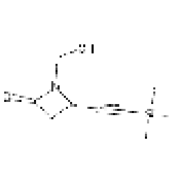 C[Si](C)(C)C#CC1CC(=O)N1CO